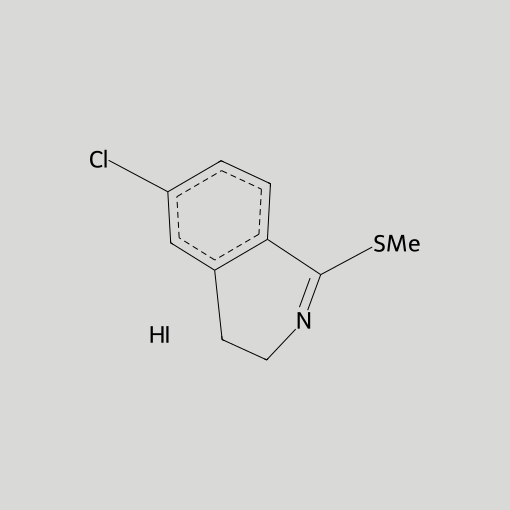 CSC1=NCCc2cc(Cl)ccc21.I